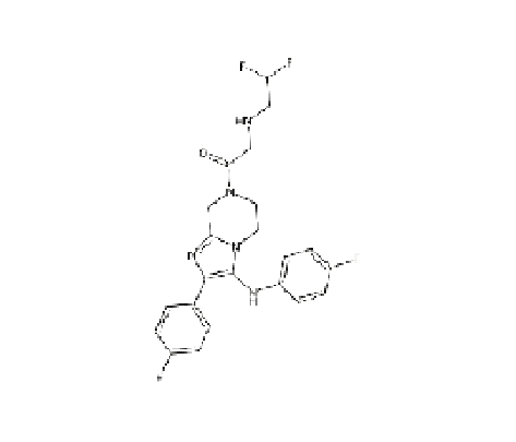 O=C(CNCC(F)F)N1CCn2c(nc(-c3ccc(F)cc3)c2Nc2ccc(F)cc2)C1